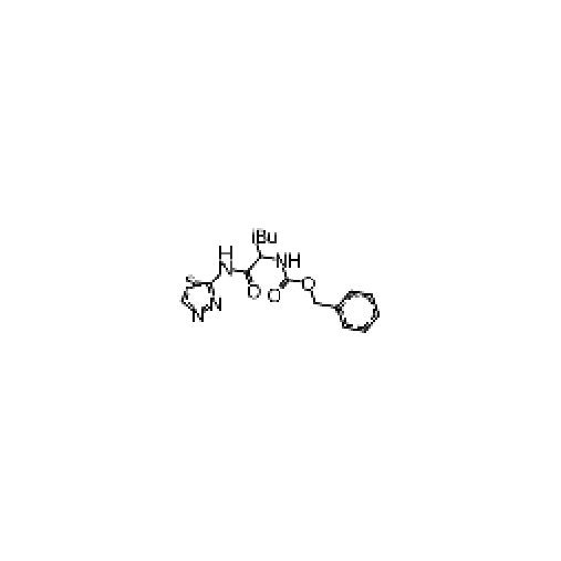 CCC(C)C(NC(=O)OCc1ccccc1)C(=O)Nc1nncs1